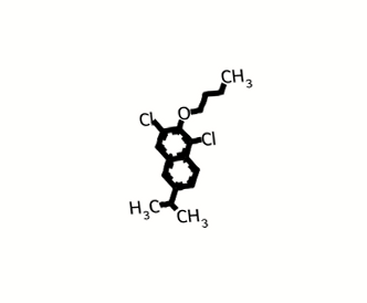 CCCCOc1c(Cl)cc2cc(C(C)C)ccc2c1Cl